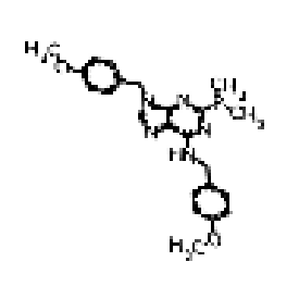 COc1ccc(CNc2nc(P(C)C)nc3c2ncn3Cc2ccc(OC)cc2)cc1